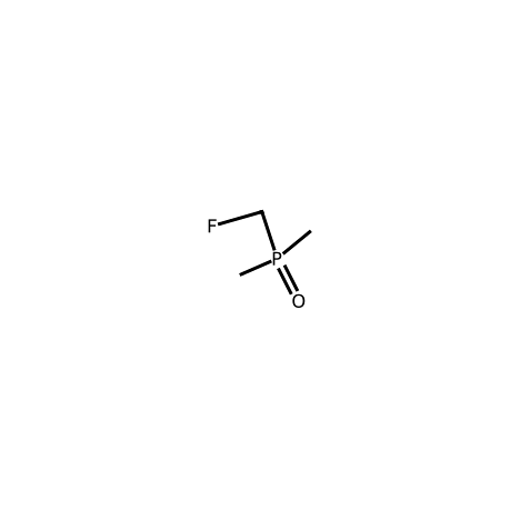 CP(C)(=O)CF